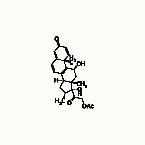 CC(=O)OCC(=O)[C@@]1(O)[C@@H](C)C[C@H]2C3=C([C@@H](O)C[C@@]21C)[C@@]1(C)C=CC(=O)C=C1C=C3